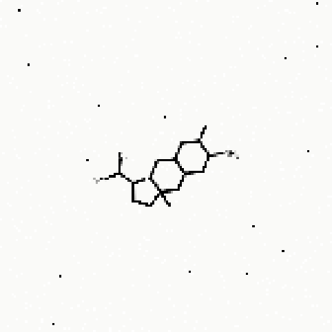 CCCC(CC)C1CCC2(C)CC3CC(N)C(C)CC3CC12